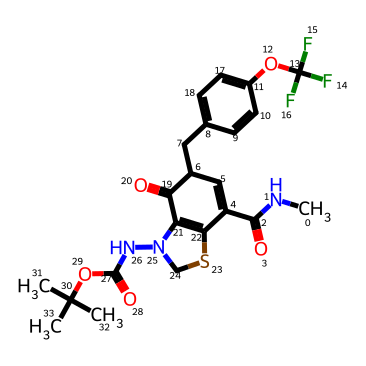 CNC(=O)C1=CC(Cc2ccc(OC(F)(F)F)cc2)C(=O)C2=C1SCN2NC(=O)OC(C)(C)C